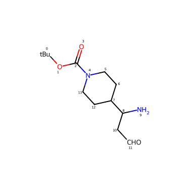 CC(C)(C)OC(=O)N1CCC(C(N)CC=O)CC1